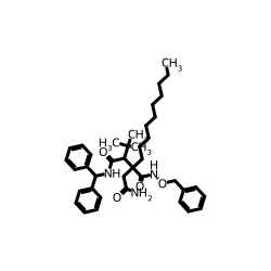 CCCCCCCCCCC(CC(N)=O)(C(=O)NOCc1ccccc1)C(C(=O)NC(c1ccccc1)c1ccccc1)C(C)(C)C